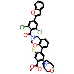 COC(=O)c1cc(F)c(-c2cccc3c2OCN(C(=O)c2c(Cl)cc(-c4cc5ccccc5o4)cc2Cl)C3)cc1N1C2CCC1COC2